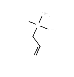 [CH2]S(C)(N)CC=O